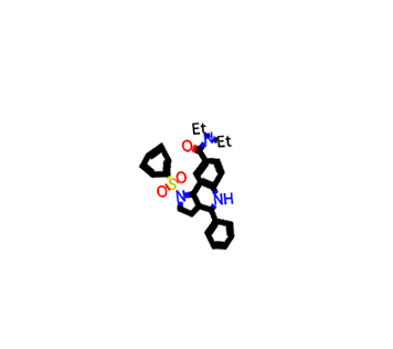 CCN(CC)C(=O)c1ccc2c(c1)C1C(CCN1S(=O)(=O)c1ccccc1)C(c1ccccc1)N2